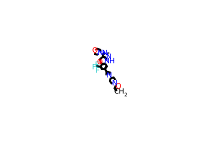 C=CC(=O)N1CCC(N2CC(c3cc4c(c(C(F)(F)F)c3)OCc3c(ncnc3N3CCOCC3)N4)C2)CC1